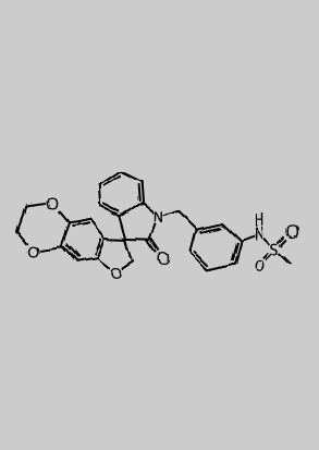 CS(=O)(=O)Nc1cccc(CN2C(=O)C3(COc4cc5c(cc43)OCCO5)c3ccccc32)c1